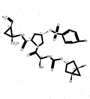 C=C[C@@H]1C[C@]1(NC(=O)[C@@H]1C[C@H](OS(=O)(=O)c2ccc(Br)cc2)CN1C(=O)[C@@H](NC(=O)O[C@@H]1C[C@@H]2C[C@@H]2C1)C(C)(C)C)C(=O)O